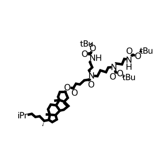 CC(C)CCC[C@@H](C)C1CCC2C3CC=C4CC(OC(=O)CCCC(=O)N(CCCCN(CCCNC(=O)OC(C)(C)C)C(=O)OC(C)(C)C)CCCNC(=O)OC(C)(C)C)CCC4(C)C3CCC21C